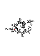 COc1ccc(C[C@H]2C(=O)N[C@@H](C)C(=O)N(C)[C@H]3Cc4ccc(cc4)Oc4cc(ccc4O)C[C@@H](C(=O)N[C@H](C)C(=O)N[C@@H](C)C(=O)N2C)N(C)C3=O)cc1